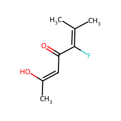 CC(O)=CC(=O)C(F)=C(C)C